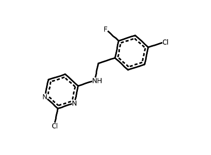 Fc1cc(Cl)ccc1CNc1ccnc(Cl)n1